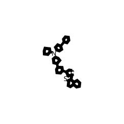 c1ccc(-c2ccc(N(c3ccccc3)c3ccc(-c4cccc(-c5cccc6c5sc5ccc7ccccc7c56)c4)cc3)cc2)cc1